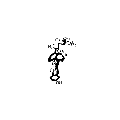 C=C1CC[C@H](O)C/C1=C/C=C1\CCC[C@]2(C)C(C(C)CCCC(C)(O)C(F)(F)F)CC[C@@H]12